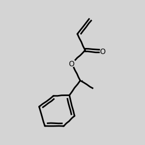 C=CC(=O)O[C](C)c1ccccc1